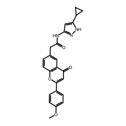 COc1ccc(-c2cc(=O)c3cc(CC(=O)Nc4cc(C5CC5)[nH]n4)ccc3o2)cc1